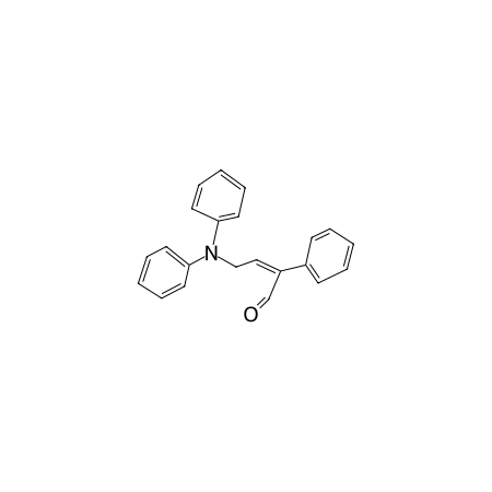 O=CC(=CCN(c1ccccc1)c1ccccc1)c1ccccc1